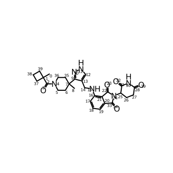 CC1(C(=O)N2CCC(C)(c3n[nH]cc3CNc3cccc4c3C(=O)N(C3CCC(=O)NC3=O)C4=O)CC2)CCC1